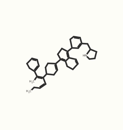 CC/C=C\C(=C(/C)C1=CC=CCC1)C1CC=C(C2=C3CCC=CC3=C(C3C=C(CC4CCCN4)C=CC3)CC2)CC1